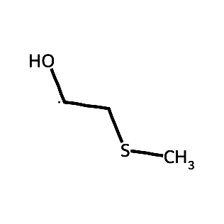 CSC[CH]O